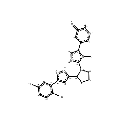 Cn1c(-c2cn[nH]c(=O)c2)nnc1N1CCCC1c1cc(-c2cc(F)ccc2F)on1